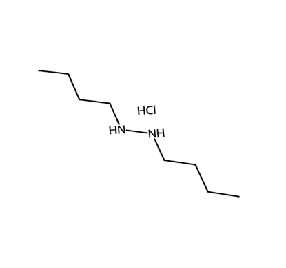 CCCCNNCCCC.Cl